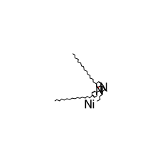 CCCCCCCCCCCCCCCc1ccc(N=C(C)C(CCCC)=Nc2ccc(CCCCCCCCCCCCCCC)cc2)cc1.[Ni]